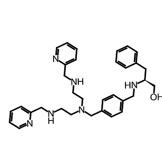 OC[C@H](Cc1ccccc1)NCc1ccc(CN(CCNCc2ccccn2)CCNCc2ccccn2)cc1